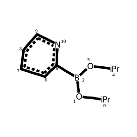 CC(C)OB(OC(C)C)c1ccccn1